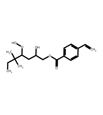 C=Cc1ccc(C(=O)OCC(O)CC(OO)C(C)(C)CC)cc1